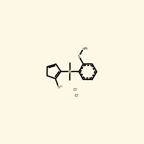 CCCSc1ccccc1[Si](C)(C)C1=[C]([Ti+2])CC=C1.[Cl-].[Cl-]